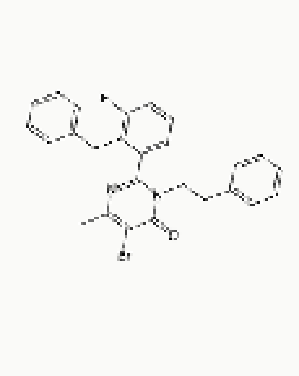 Cc1nc(-c2cccc(F)c2Cc2ccccc2)n(CCc2ccccc2)c(=O)c1Br